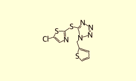 Clc1cnc(Sc2nnnn2Cc2cccs2)s1